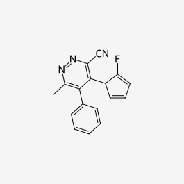 Cc1nnc(C#N)c(C2C=CC=C2F)c1-c1ccccc1